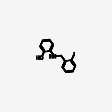 Oc1ccccc1NCc1ccccc1I